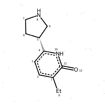 CCc1ccc([C@@H]2CCNC2)[nH]c1=O